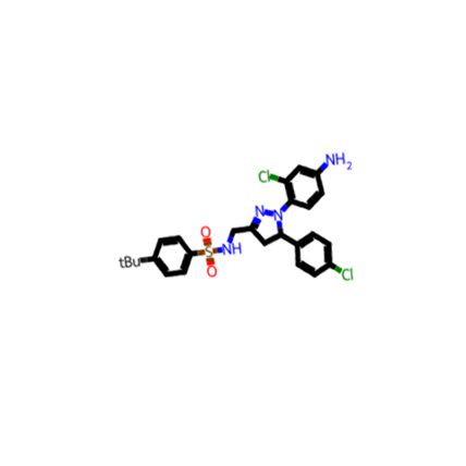 CC(C)(C)c1ccc(S(=O)(=O)NCC2=NN(c3ccc(N)cc3Cl)C(c3ccc(Cl)cc3)C2)cc1